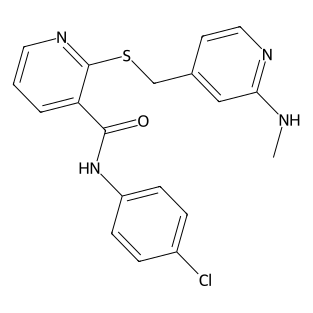 CNc1cc(CSc2ncccc2C(=O)Nc2ccc(Cl)cc2)ccn1